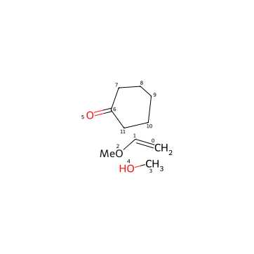 C=COC.CO.O=C1CCCCC1